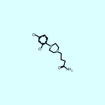 NC(=O)CCCN1CCN(c2ccc(Cl)cc2Cl)CC1